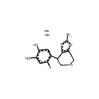 Br.Br.Nc1nc2c(s1)C(c1cc(O)c(O)cc1F)CNC2